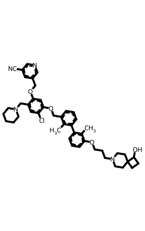 Cc1c(COc2cc(OCc3cncc(C#N)c3)c(CN3CCCCC3)cc2Cl)cccc1-c1cccc(OCCCN2CCC3(CCC3O)CC2)c1C